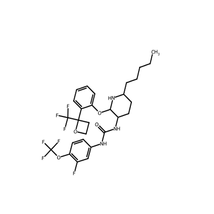 CCCCCC1CCC(NC(=O)Nc2ccc(OC(F)(F)F)c(F)c2)C(Oc2ccccc2C2(C(F)(F)F)CCO2)N1